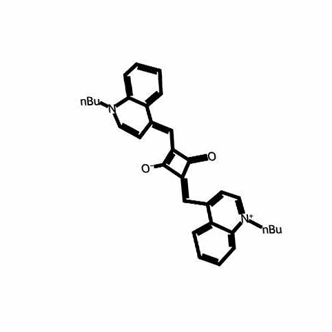 CCCCN1C=C/C(=C\C2=C([O-])C(=C/c3cc[n+](CCCC)c4ccccc34)/C2=O)c2ccccc21